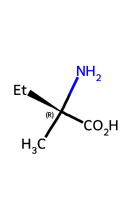 [CH2]C[C@@](C)(N)C(=O)O